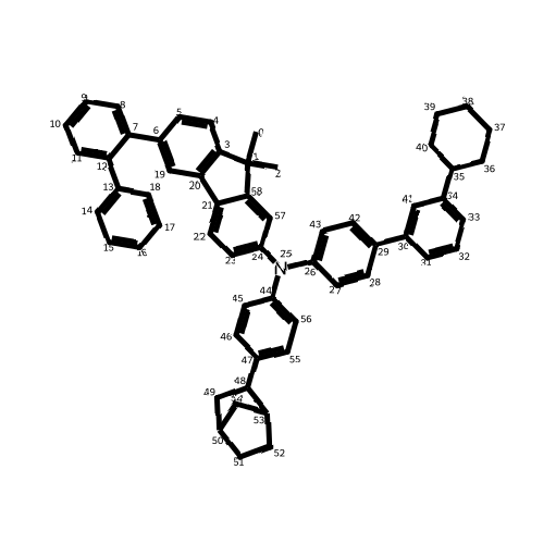 CC1(C)c2ccc(-c3ccccc3-c3ccccc3)cc2-c2ccc(N(c3ccc(-c4cccc(C5CCCCC5)c4)cc3)c3ccc(C4CC5CCC4C5)cc3)cc21